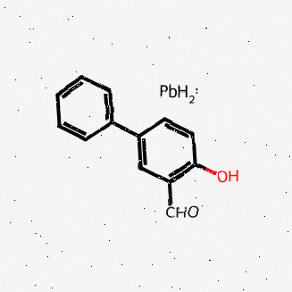 O=Cc1cc(-c2ccccc2)ccc1O.[PbH2]